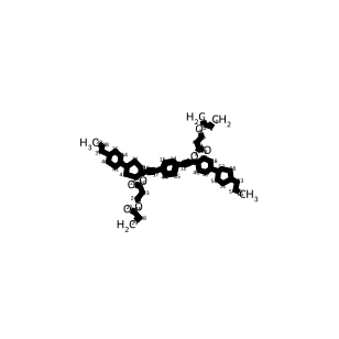 C=CC(=C)OCCC(=O)OC1(C#Cc2ccc(C#CC3(OC(=O)CCOC(=O)C=C)CCC(C4CCC(CCC)CC4)CC3)cc2)CCC(C2CCC(CCC)CC2)CC1